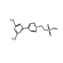 COS(=O)(=O)CC[n+]1ccc(-c2cc(N)nc(N)n2)cn1